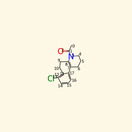 CC(=O)N1CCCC2=C1CCc1c(Cl)cccc12